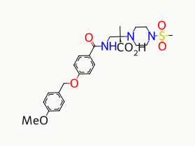 COc1ccc(COc2ccc(C(=O)NC[C@@](C)(C(=O)O)N3CCN(S(C)(=O)=O)CC3)cc2)cc1